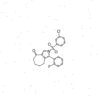 O=C1CCCCc2c1cn(S(=O)(=O)c1cccc(Cl)c1)c2-c1ccccc1F